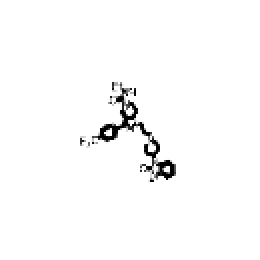 CCNC(=O)N1CCc2c(c(-c3ccc(C(F)(F)F)cc3)nn2CCCN2CCC(n3c(=O)n(C)c4ccccc43)CC2)C1